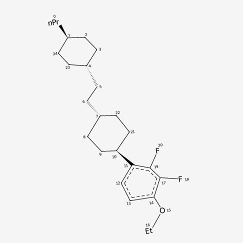 CCC[C@H]1CC[C@H](CC[C@H]2CC[C@H](c3ccc(OCC)c(F)c3F)CC2)CC1